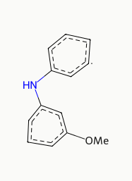 COc1cccc(Nc2c[c]ccc2)c1